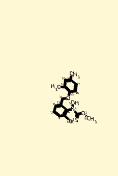 COC(=S)N(O)c1c(Br)cccc1COc1ccc(C)cc1C